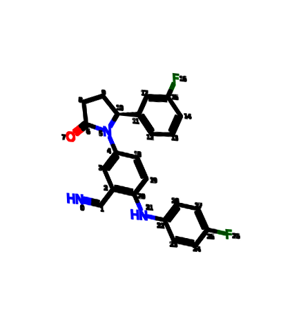 N=Cc1cc(N2C(=O)CC[C@H]2c2cccc(F)c2)ccc1Nc1ccc(F)cc1